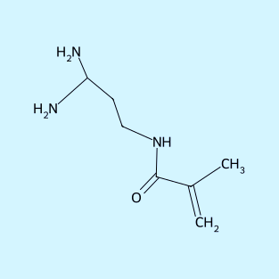 C=C(C)C(=O)NCCC(N)N